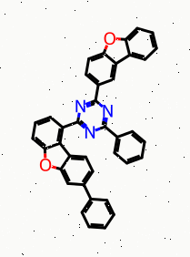 c1ccc(-c2ccc3c(c2)oc2cccc(-c4nc(-c5ccccc5)nc(-c5ccc6oc7ccccc7c6c5)n4)c23)cc1